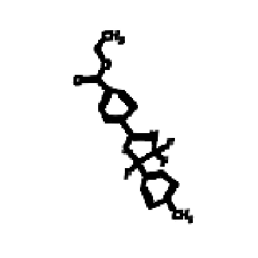 CCOC(=O)c1ccc(C2=NC(F)(F)C(F)(c3ccc(C)cc3)S2)cc1